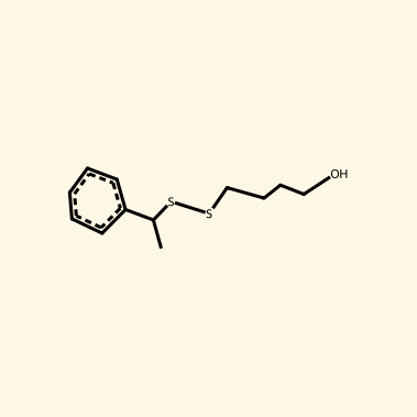 CC(SSCCCCO)c1ccccc1